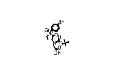 CC[N+]([O-])(C(=O)CN(CC(=O)O)C(=O)OC(C)(C)C)c1ccc(Br)cc1